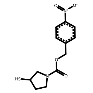 O=C(OCc1ccc([N+](=O)[O-])cc1)N1CCC(S)C1